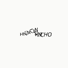 O=CNCc1nc2ccc(N3CCNCC3)cc2s1